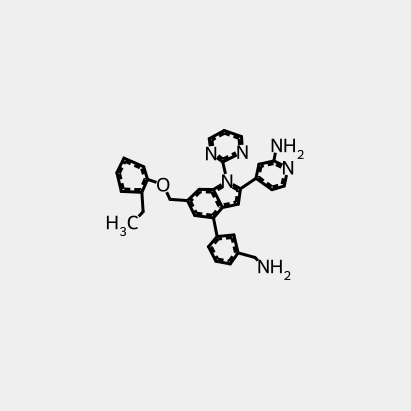 CCc1ccccc1OCc1cc(-c2cccc(CN)c2)c2cc(-c3ccnc(N)c3)n(-c3ncccn3)c2c1